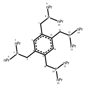 CCCP(CCC)Cc1cc(CP(CCC)CCC)c(CP(CCC)CCC)cc1CP(CCC)CCC